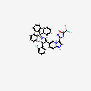 Fc1ccccc1-c1nn(C(c2ccccc2)(c2ccccc2)C2C=CC=CC2)cc1-c1ccc2ncc(-c3noc(C(F)F)n3)n2c1